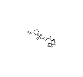 CN(c1ncnc2[nH]ccc12)C1CC(CS(=O)(=O)N2CCCC(C(F)(F)F)C2)C1